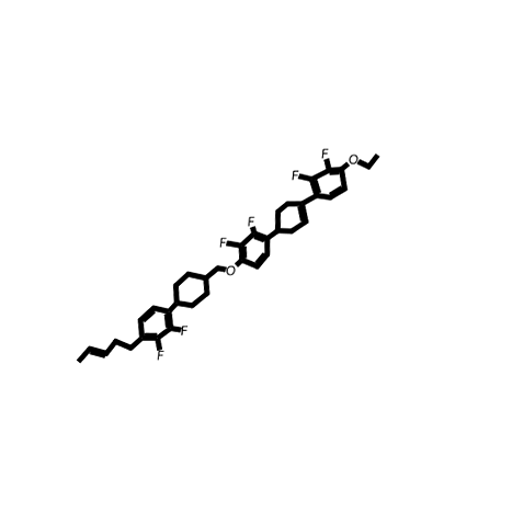 C/C=C/CCc1ccc(C2CCC(COc3ccc(C4CC=C(c5ccc(OCC)c(F)c5F)CC4)c(F)c3F)CC2)c(F)c1F